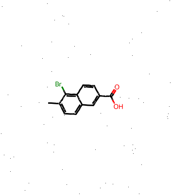 Cc1ccc2cc(C(=O)O)ccc2c1Br